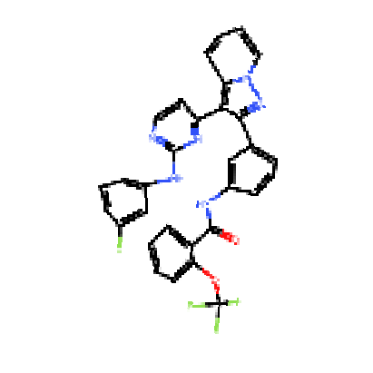 O=C(Nc1cccc(-c2nn3ccccc3c2-c2ccnc(Nc3cccc(F)c3)n2)c1)c1ccccc1OC(F)(F)F